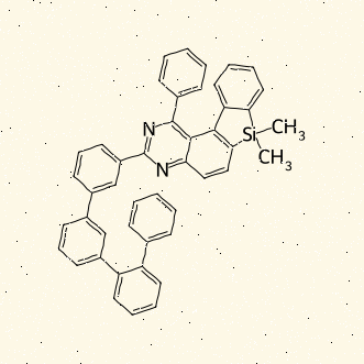 C[Si]1(C)c2ccccc2-c2c1ccc1nc(-c3cccc(-c4cccc(-c5ccccc5-c5ccccc5)c4)c3)nc(-c3ccccc3)c21